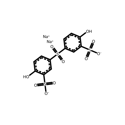 O=S(=O)([O-])c1cc(S(=O)(=O)c2ccc(O)c(S(=O)(=O)[O-])c2)ccc1O.[Na+].[Na+]